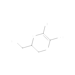 CC1=C(O)OCC(CO)O1